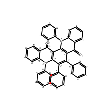 O=c1c2ccccc2n(-c2ccccc2)c2c1c(-c1ccccc1)c(-c1ccccc1)c1c2c(=O)c2ccccc2n1-c1ccccc1